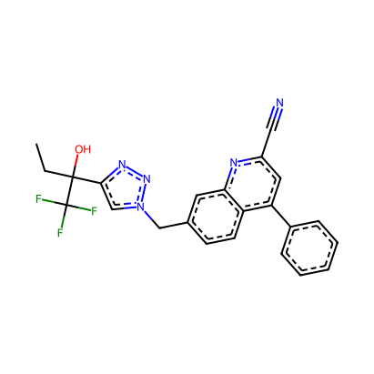 CCC(O)(c1cn(Cc2ccc3c(-c4ccccc4)cc(C#N)nc3c2)nn1)C(F)(F)F